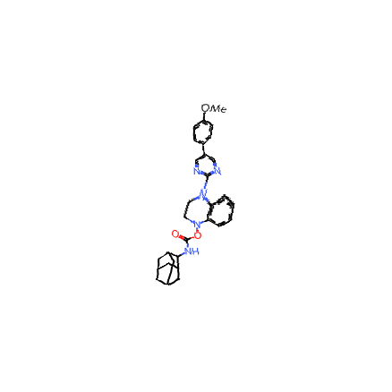 COc1ccc(-c2cnc(N3CCN(OC(=O)NC4C5CC6CC(C5)CC4C6)c4ccccc43)nc2)cc1